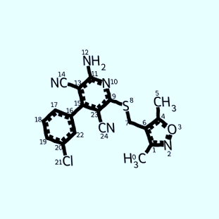 Cc1noc(C)c1CSc1nc(N)c(C#N)c(-c2cccc(Cl)c2)c1C#N